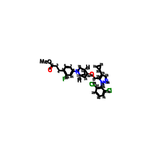 COC(=O)CCc1ccc(N2C[C@@H]3C[C@H]2C[C@H]3OCc2c(C3CC3)cnn2-c2c(Cl)cccc2Cl)cc1F